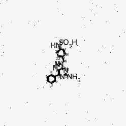 Nc1nc(-c2ccccc2)c2nnn(Cc3ccc(NS(=O)(=O)O)cc3)c2n1